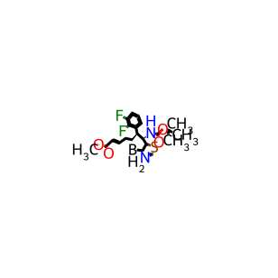 BC1N=CSC1[C@@H](NC(=O)OC(C)(C)C)[C@@H](CC/C=C/C(=O)OC)c1cccc(F)c1F